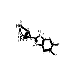 Cc1cc2nc(-c3nn4cc3[nH]4)[nH]c2cc1C